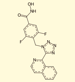 O=C(NO)c1cc(F)c(Cn2nnnc2-c2nccc3ccccc23)c(F)c1